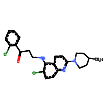 O=C(CCNc1c(Cl)ccc2nc(N3CCC(C(=O)O)CC3)ccc12)c1ccccc1Cl